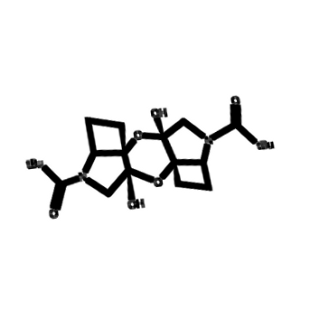 CC(C)(C)C(=O)N1C[C@@]2(O)O[C@@]34CCC3N(C(=O)C(C)(C)C)C[C@@]4(O)O[C@]23CCC13